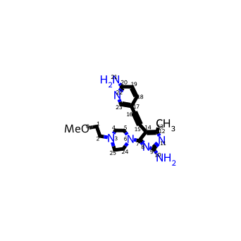 COCCN1CCN(c2nc(N)nc(C)c2C#Cc2ccc(N)nc2)CC1